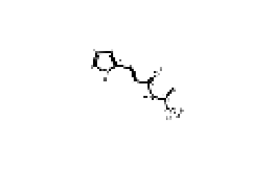 C[C@H](NC(=O)C=Cc1ccco1)C(=O)O